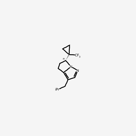 CC(C)Cc1cnn2c1CC[C@@H]2C1(C(F)(F)F)CC1